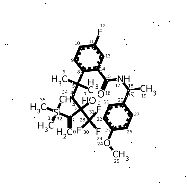 C=C(C(O)(CC(C)(C)c1ccc(F)cc1C(=O)N[C@@H](C)c1ccc(OC)cc1)C(F)(F)F)[Si](C)(C)C